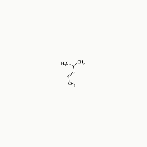 [CH2]C(C)/C=[C]/C